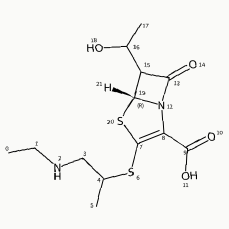 CCNCC(C)SC1=C(C(=O)O)N2C(=O)C(C(C)O)[C@H]2S1